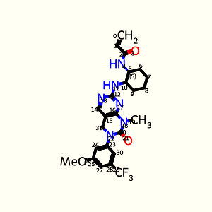 C=CC(=O)N[C@H]1CCCCC1Nc1ncc2c(n1)N(C)C(=O)N(c1cc(OC)cc(C(F)(F)F)c1)C2